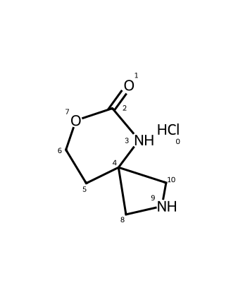 Cl.O=C1NC2(CCO1)CNC2